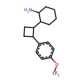 NC1CCCCC1C1CC[C]1c1ccc(OC(F)(F)F)cc1